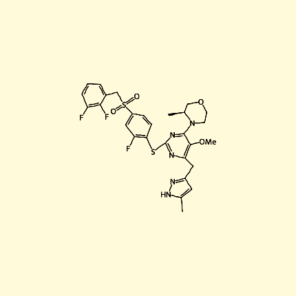 COc1c(Cc2cc(C)[nH]n2)nc(Sc2ccc(S(=O)(=O)Cc3cccc(F)c3F)cc2F)nc1N1CCOC[C@@H]1C